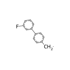 [CH2]c1ccc(-c2cccc(F)c2)cc1